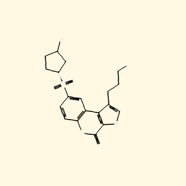 Cl.NC1CC[C@H](S(=O)(=O)c2ccc3[nH]c(=O)c4[nH]cc(CCCC(=O)O)c4c3c2)C1